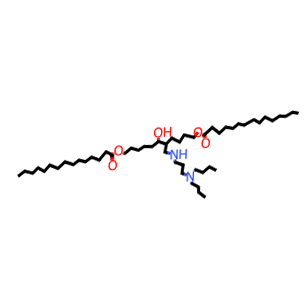 CCCCCCCCCCCCCCC(=O)OCCCCCC(O)C(CCCCOC(=O)CCCCCCCCCCCCCC)CNCCCN(CCCC)CCCC